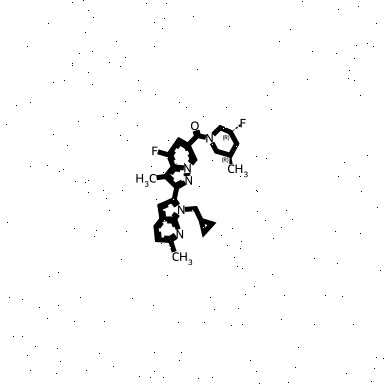 Cc1ccc2cc(-c3nn4cc(C(=O)N5C[C@H](C)C[C@@H](F)C5)cc(F)c4c3C)n(CC3CC3)c2n1